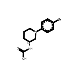 O=C(O)N[C@@H]1CCCN(c2ccc(Br)cc2)C1